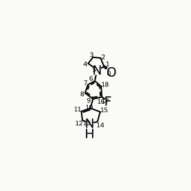 O=C1CCCN1c1ccc(C2=CCNCC2)c(F)c1